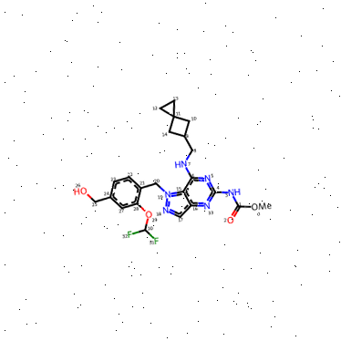 COC(=O)Nc1nc(NCC2CC3(CC3)C2)c2c(cnn2Cc2ccc(CO)cc2OC(F)F)n1